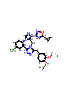 COc1ccc(Cc2nnc3n2Cc2c(-c4noc(C5CC5)n4)ncn2-c2ccc(Cl)cc2-3)cc1OC